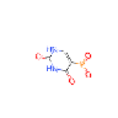 O=c1[nH]cc(P(=O)=O)c(=O)[nH]1